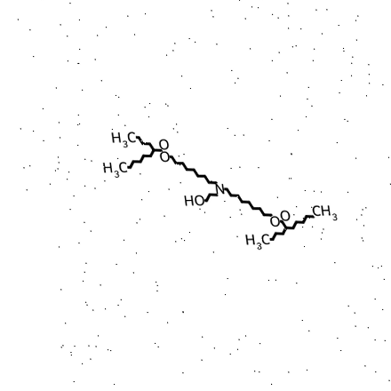 CCCCCCC(CCCC)C(=O)OCCCCCCCCCN(CCCO)CCCCCCCCCOC(=O)C(CCCC)CCCCCC